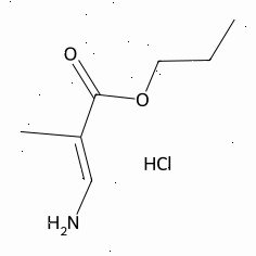 CCCOC(=O)C(C)=CN.Cl